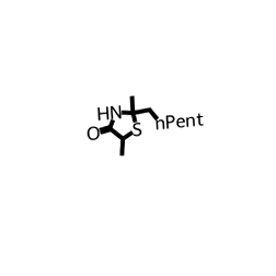 CCCCCCC1(C)NC(=O)C(C)S1